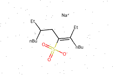 CCCCC(CC)=C(CC(CC)CCCC)S(=O)(=O)[O-].[Na+]